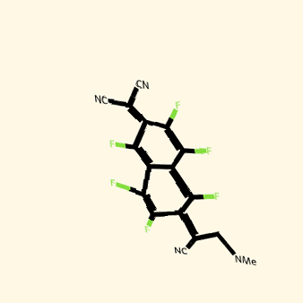 CNC/C(C#N)=c1/c(F)c(F)c2c(F)c(=C(C#N)C#N)c(F)c(F)c2c1F